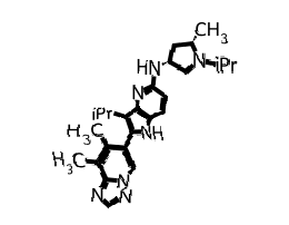 Cc1c(-c2[nH]c3ccc(N[C@@H]4C[C@H](C)N(C(C)C)C4)nc3c2C(C)C)cn2ncnc2c1C